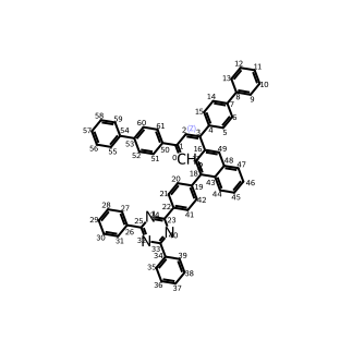 C=C(/C=C(/c1ccc(-c2ccccc2)cc1)c1cc(-c2ccc(-c3nc(-c4ccccc4)nc(-c4ccccc4)n3)cc2)c2ccccc2c1)c1ccc(-c2ccccc2)cc1